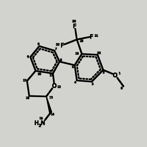 COc1ccc(-c2cccc3c2O[C@@H](CN)CC3)c(C(F)(F)F)c1